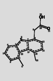 Cc1cccc2sc3c(CC(=O)O)ccc(C)c3c12